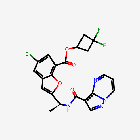 C[C@H](NC(=O)c1cnn2cccnc12)c1cc2cc(Cl)cc(C(=O)OC3CC(F)(F)C3)c2o1